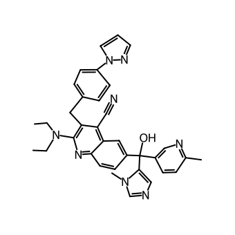 CCN(CC)c1nc2ccc(C(O)(c3ccc(C)nc3)c3cncn3C)cc2c(C#N)c1Cc1ccc(-n2cccn2)cc1